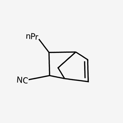 CCCC1C2C=CC(C2)C1C#N